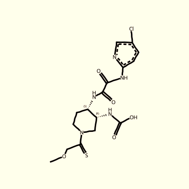 COCC(=S)N1CC[C@H](NC(=O)C(=O)Nc2ccc(Cl)cn2)[C@H](NC(=O)O)C1